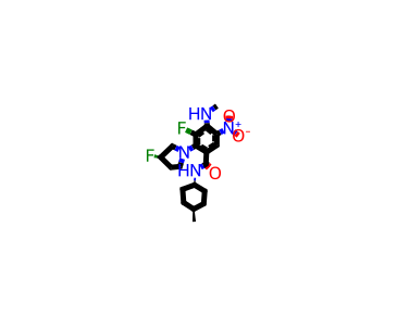 CNc1c([N+](=O)[O-])cc(C(=O)N[C@H]2CC[C@H](C)CC2)c(N2CC[C@@H](F)C2)c1F